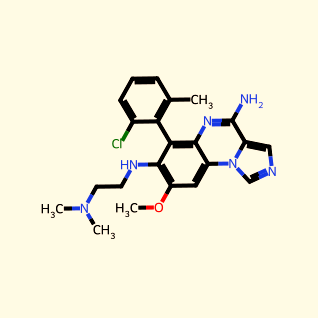 COc1cc2c(nc(N)c3cncn32)c(-c2c(C)cccc2Cl)c1NCCN(C)C